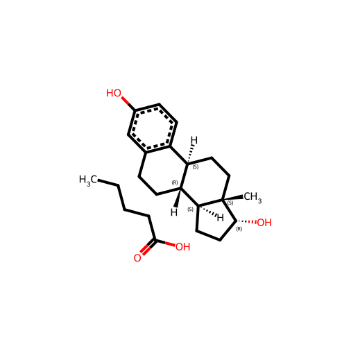 CCCCC(=O)O.C[C@]12CC[C@@H]3c4ccc(O)cc4CC[C@H]3[C@@H]1CC[C@H]2O